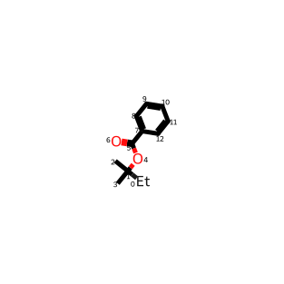 CCC(C)(C)OC(=O)c1ccccc1